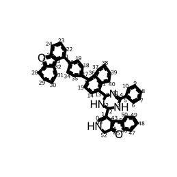 C1=C(C2NC(c3ccccc3)=NC(c3ccc(-c4ccc(-c5cccc6oc7ccccc7c56)cc4)c4ccccc34)N2)c2c(oc3ccccc23)CN1